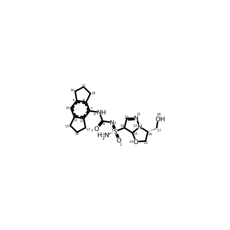 N[S@](=O)(=NC(=O)Nc1c2c(cc3c1CCC3)CCC2)C1C=NN2C1OC[C@H]2CO